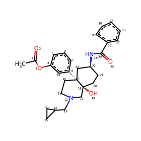 CC(=O)Oc1cccc([C@@]23CCN(CC4CC4)C[C@@]2(O)CC[C@H](NC(=O)c2ccccc2)C3)c1